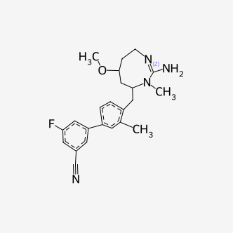 COC1CC/N=C(/N)N(C)C(Cc2ccc(-c3cc(F)cc(C#N)c3)cc2C)C1